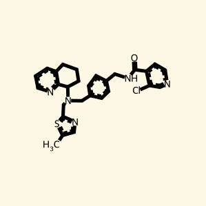 Cc1cnc(CN(Cc2ccc(CNC(=O)c3ccncc3Cl)cc2)C2CCCc3cccnc32)s1